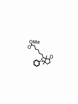 COC(=O)CCCCCCC1(C)C(=O)CCC1(C)Sc1ccccc1